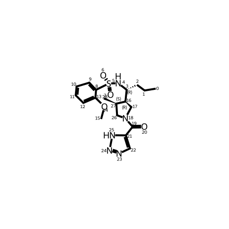 CCC[C@@H](NS(=O)(=O)c1ccccc1OC)[C@H]1CN(C(=O)c2cnn[nH]2)C[C@H]1C